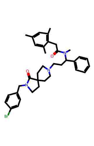 Cc1cc(C)c(CC(=O)N(C)C(CCN2CCC3(CC2)CCN(Cc2ccc(Br)cc2)C3=O)c2ccccc2)c(C)c1